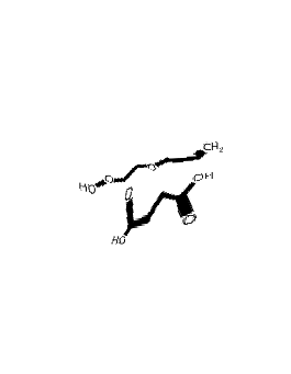 C=CCOCCOO.O=C(O)CCC(=O)O